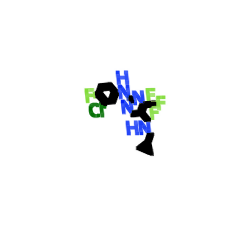 Fc1ccc(Nc2ncc(CNCC3CC3)c(C(F)(F)F)n2)cc1Cl